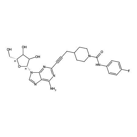 Nc1nc(C#CCC2CCN(C(=O)Nc3ccc(F)cc3)CC2)nc2c1ncn2[C@@H]1O[C@H](CO)C(O)C1O